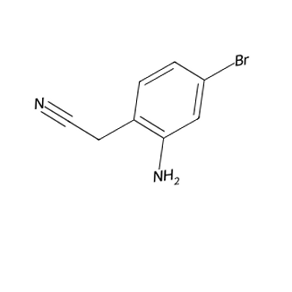 N#CCc1ccc(Br)cc1N